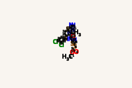 CCOC(=O)CSc1cnc(NC(=O)c2nc(Sc3nncn3C)ccc2Sc2ccc(Cl)c(Cl)c2)s1